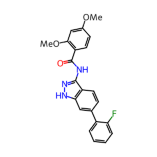 COc1ccc(C(=O)Nc2n[nH]c3cc(-c4ccccc4F)ccc23)c(OC)c1